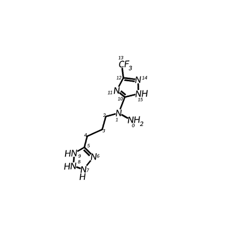 NN(CCCC1=NNNN1)c1nc(C(F)(F)F)n[nH]1